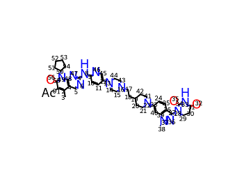 CC(=O)c1c(C)c2cnc(Nc3ccc(N4CCN(CCC5CCN(c6ccc7c(N8CCC(=O)NC8=O)nn(C)c7c6)CC5)CC4)cn3)nc2n(C2CCCC2)c1=O